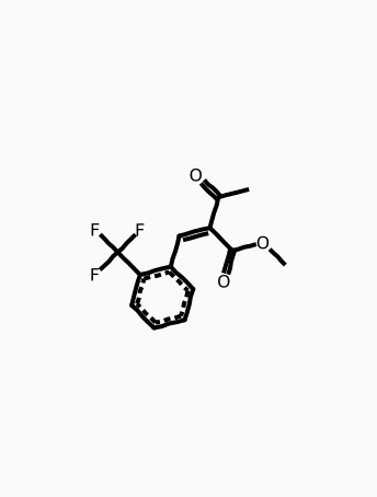 COC(=O)C(=Cc1ccccc1C(F)(F)F)C(C)=O